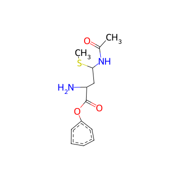 CSC(CC(N)C(=O)Oc1ccccc1)NC(C)=O